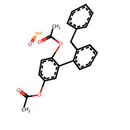 CC(=O)Oc1ccc(OC(C)=O)c(-c2ccccc2Cc2ccccc2)c1.O=P